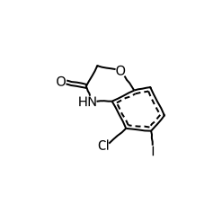 O=C1COc2ccc(I)c(Cl)c2N1